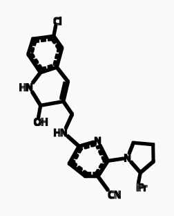 CC(C)C1CCCN1c1nc(NCC2=Cc3cc(Cl)ccc3NC2O)ccc1C#N